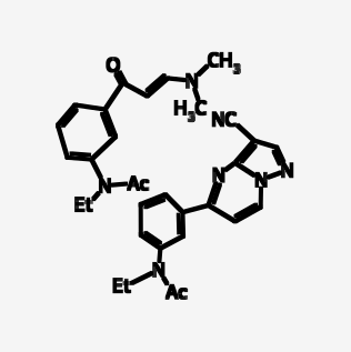 CCN(C(C)=O)c1cccc(-c2ccn3ncc(C#N)c3n2)c1.CCN(C(C)=O)c1cccc(C(=O)/C=C/N(C)C)c1